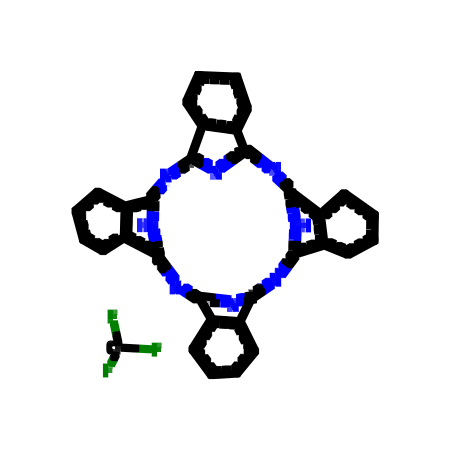 [F][Cr]([F])[F].c1ccc2c(c1)-c1nc-2nc2[nH]c(nc3nc(nc4[nH]c(n1)c1ccccc41)-c1ccccc1-3)c1ccccc21